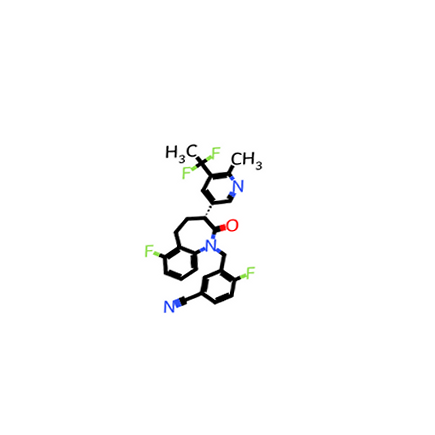 Cc1ncc([C@H]2CCc3c(F)cccc3N(Cc3cc(C#N)ccc3F)C2=O)cc1C(C)(F)F